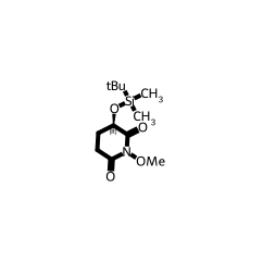 CON1C(=O)CC[C@@H](O[Si](C)(C)C(C)(C)C)C1=O